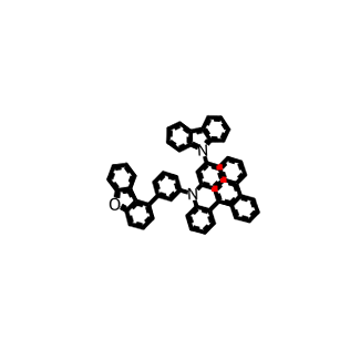 c1cc(-c2cccc3oc4ccccc4c23)cc(N(c2cccc(-n3c4ccccc4c4ccccc43)c2)c2ccccc2-c2cc3ccccc3c3ccccc23)c1